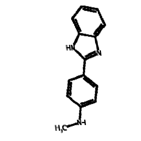 CNc1ccc(-c2nc3ccccc3[nH]2)cc1